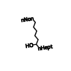 CCCCCCCCCCCCCCC(O)CCCCCCC